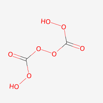 O=C(OO)OOC(=O)OO